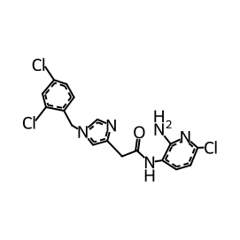 Nc1nc(Cl)ccc1NC(=O)Cc1cn(Cc2ccc(Cl)cc2Cl)cn1